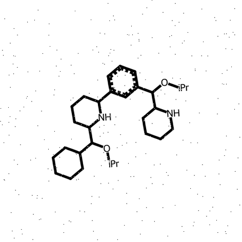 CC(C)OC(c1cccc(C2CCCC(C(OC(C)C)C3CCCCC3)N2)c1)C1CCCCN1